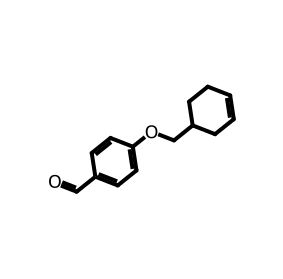 O=Cc1ccc(OCC2CC=CCC2)cc1